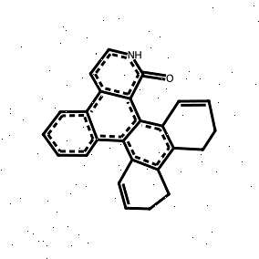 O=c1[nH]ccc2c3ccccc3c3c4c(c5c(c3c12)C=CCC5)CCC=C4